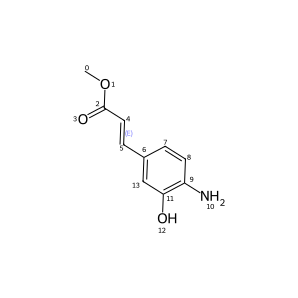 COC(=O)/C=C/c1ccc(N)c(O)c1